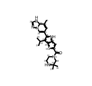 CC1=CC(c2[nH]c3cc(C(=O)N4CCNC(C)(C)C4)sc3c2C(C)C)=CN2N=CNC12